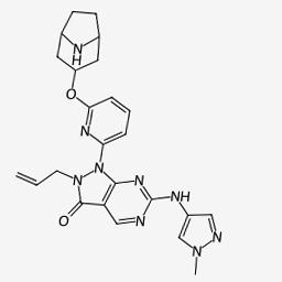 C=CCn1c(=O)c2cnc(Nc3cnn(C)c3)nc2n1-c1cccc(OC2CC3CCC(C2)N3)n1